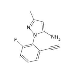 C#Cc1cccc(F)c1-n1nc(C)cc1N